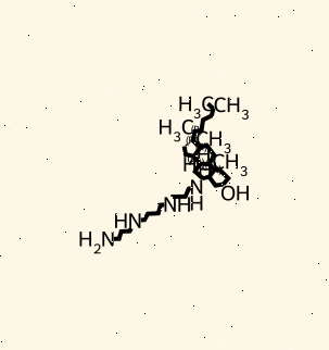 CC(C)CCC[C@@H](C)[C@H]1CC[C@H]2[C@@H]3CC(NCCCNCCCCNCCCN)C4CC(O)CC[C@]4(C)[C@H]3CC[C@]12C